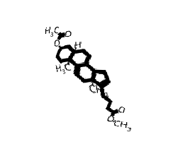 COC(=O)CCCC1=CCC2C3CC[C@@H]4C[C@H](OC(C)=O)CC[C@]4(C)C3=CC[C@]12C